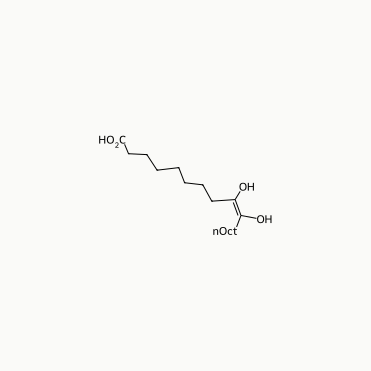 CCCCCCCC/C(O)=C(/O)CCCCCCCC(=O)O